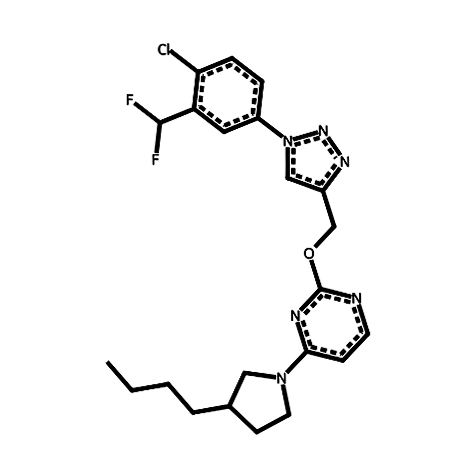 CCCCC1CCN(c2ccnc(OCc3cn(-c4ccc(Cl)c(C(F)F)c4)nn3)n2)C1